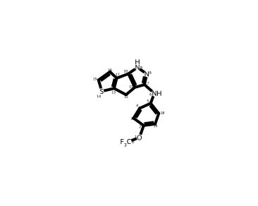 FC(F)(F)Oc1ccc(Nc2n[nH]c3c2Cc2sccc2-3)cc1